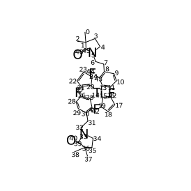 CC1(C)CCN(CCc2ccc(F)[c]([Ti]([C]3=CC=CC3)([C]3=CC=CC3)[c]3c(F)ccc(CCN4CCC(C)(C)C4=O)c3F)c2F)C1=O